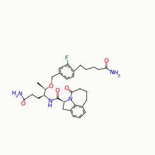 C[C@@H](OCc1ccc(CCCCC(N)=O)c(F)c1)[C@H](CCC(N)=O)NC(=O)[C@@H]1Cc2cccc3c2N1C(=O)CCC3